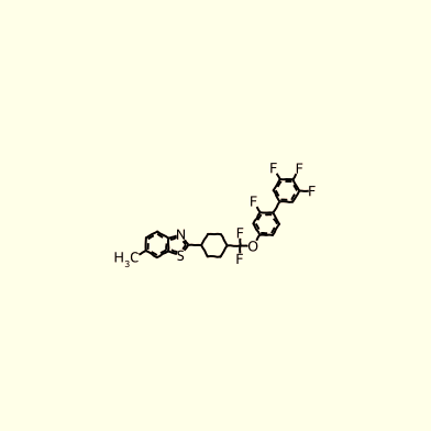 Cc1ccc2nc(C3CCC(C(F)(F)Oc4ccc(-c5cc(F)c(F)c(F)c5)c(F)c4)CC3)sc2c1